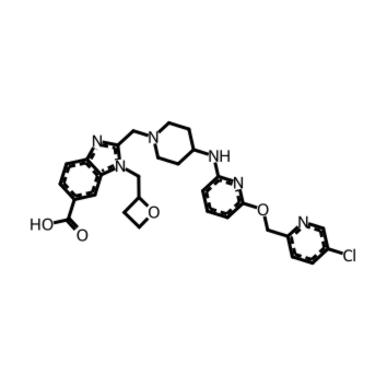 O=C(O)c1ccc2nc(CN3CCC(Nc4cccc(OCc5ccc(Cl)cn5)n4)CC3)n(CC3CCO3)c2c1